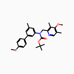 COc1c(C)cnc(CN(C(=O)OC(C)(C)C)c2cc(C)cc(-c3ccc(SC)cc3)c2)c1C